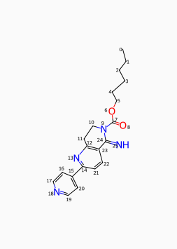 CCCCCCOC(=O)N1CCc2nc(-c3ccncc3)ccc2C1=N